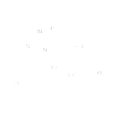 CC(C)Nc1nc2cc(Cl)c(Cl)cc2n1CC(O)C(O)C(O)CO